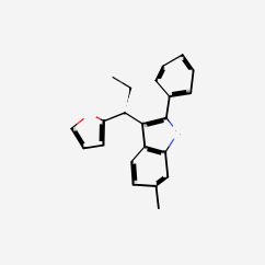 Cc1ccc2c([C@H](CC(F)(F)F)c3ccco3)c(-c3ccccc3)[nH]c2c1